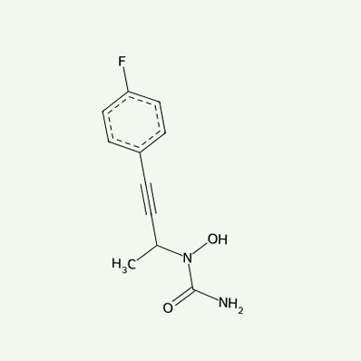 CC(C#Cc1ccc(F)cc1)N(O)C(N)=O